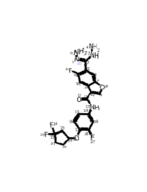 N/N=C(\NN)c1cc2occ(C(=O)Nc3ccc(OC4CCC(F)(F)C4)c(F)c3)c2cc1F